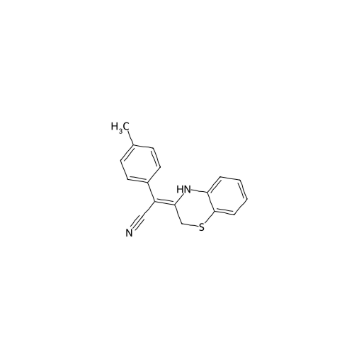 Cc1ccc(/C(C#N)=C2/CSc3ccccc3N2)cc1